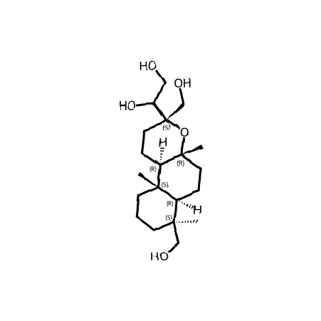 C[C@]1(CO)CCC[C@]2(C)[C@H]3CC[C@](CO)(C(O)CO)O[C@]3(C)CC[C@@H]12